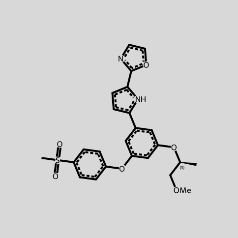 COC[C@H](C)Oc1cc(Oc2ccc(S(C)(=O)=O)cc2)cc(-c2ccc(-c3ncco3)[nH]2)c1